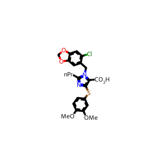 CCCc1nc(Sc2ccc(OC)c(OC)c2)c(C(=O)O)n1Cc1cc2c(cc1Cl)OCO2